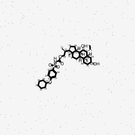 CC[C@H]1[C@@H](O)[C@@H]2[C@H](CC[C@]3(C)[C@@H]([C@H](C)COC(=O)NS(=O)(=O)c4ccc(OC5CCCCC5)cc4)CC[C@@H]23)[C@@]2(C)CC[C@@H](O)C[C@@H]12